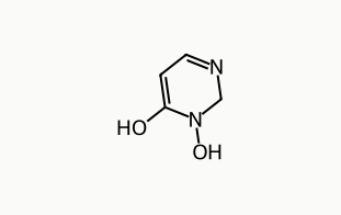 OC1=CC=NCN1O